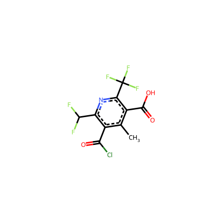 Cc1c(C(=O)Cl)c(C(F)F)nc(C(F)(F)F)c1C(=O)O